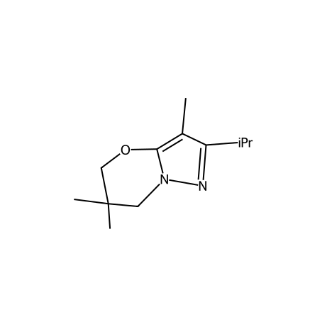 Cc1c(C(C)C)nn2c1OCC(C)(C)C2